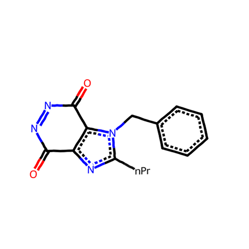 CCCc1nc2c(n1Cc1ccccc1)C(=O)N=NC2=O